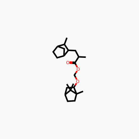 CC(CC1C2CCC(C2)C1C)C(=O)OCOC1CC2CCC1(C)C2(C)C